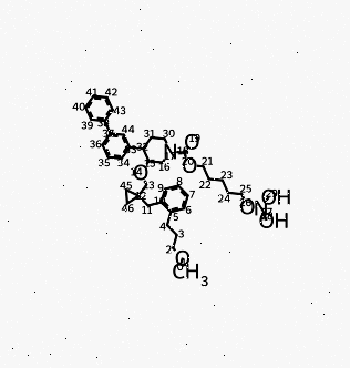 COCCCc1ccccc1CC1(COC2CN(C(=O)OCCCCCON(O)O)CC[C@@H]2c2cccc(-c3ccccc3)c2)CC1